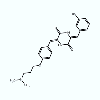 CN(C)CCCOc1ccc(C=c2[nH]c(=O)c(=Cc3cccc(Br)c3)[nH]c2=O)cc1